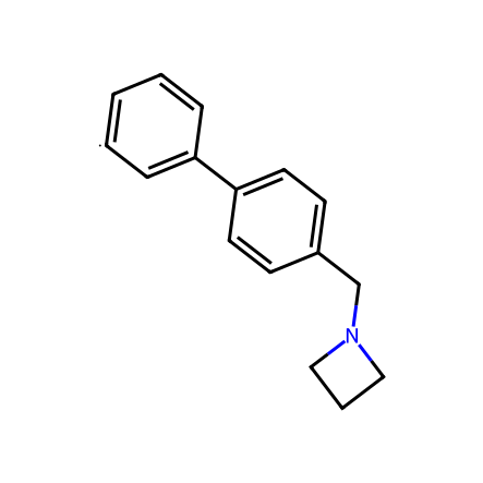 [c]1cccc(-c2ccc(CN3CCC3)cc2)c1